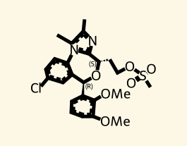 COc1cccc([C@@H]2O[C@@H](CCOS(C)(=O)=O)c3nc(C)c(C)n3-c3ccc(Cl)cc32)c1OC